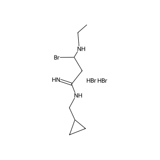 Br.Br.CCNC(Br)CC(=N)NCC1CC1